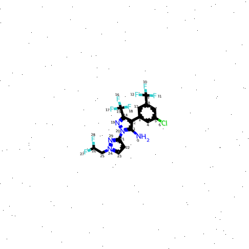 Nc1c(-c2cc(Cl)cc(C(F)(F)F)c2)c(C(F)(F)F)nn1-c1ccn(CC(F)F)n1